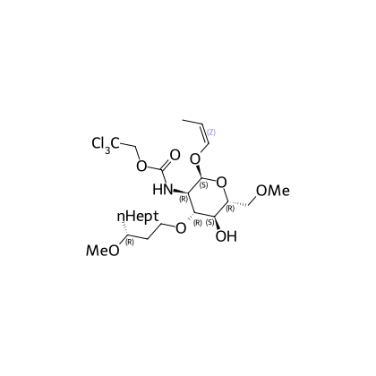 C/C=C\O[C@H]1O[C@H](COC)[C@@H](O)[C@H](OCC[C@@H](CCCCCCC)OC)[C@H]1NC(=O)OCC(Cl)(Cl)Cl